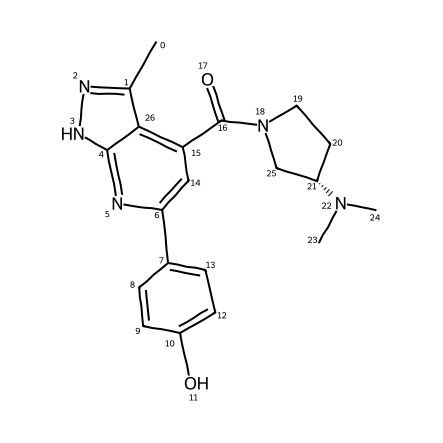 Cc1n[nH]c2nc(-c3ccc(O)cc3)cc(C(=O)N3CC[C@H](N(C)C)C3)c12